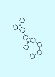 c1ccc(-c2cccc(-c3cccc(-c4ccc5c6cc(-c7ccc8c(c7)c7ccccc7n8-c7ccccc7)ccc6n(-c6ccccc6)c5c4)c3)c2)cc1